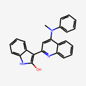 CN(c1ccccc1)c1cc(-c2c(O)[nH]c3ccccc23)nc2ccccc12